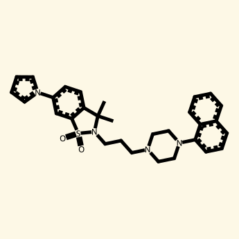 CC1(C)c2ccc(-n3cccc3)cc2S(=O)(=O)N1CCCN1CCN(c2cccc3ccccc23)CC1